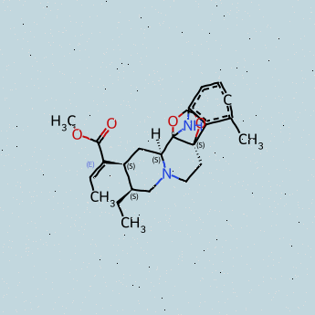 C/C=C(/C(=O)OC)[C@H]1C[C@@H]2N(CC[C@@]34OCCOC23Nc2cccc(C)c24)C[C@H]1CC